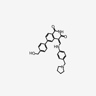 O=C1NC(=O)c2ccc(-c3ccc(CO)cc3)cc2/C1=C\Nc1ccc(CN2CCCC2)cc1